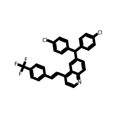 FC(F)(F)c1ccc(C=Cc2ccnc3ccc(C(c4ccc(Cl)cc4)c4ccc(Cl)cc4)cc23)cc1